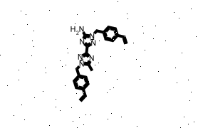 C=Cc1ccc(Cn2nc(-c3nc(N)n(Cc4ccc(C=C)cc4)n3)nc2C)cc1